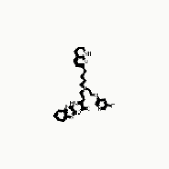 O=C(O)C(CCN(CCCCc1ccc2c(n1)NCCC2)CCOc1cncc(F)c1)Nc1cnc2ccccc2n1